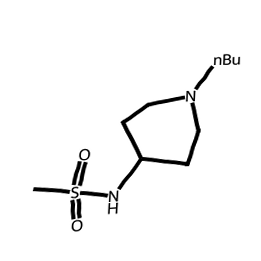 CCCCN1CCC(NS(C)(=O)=O)CC1